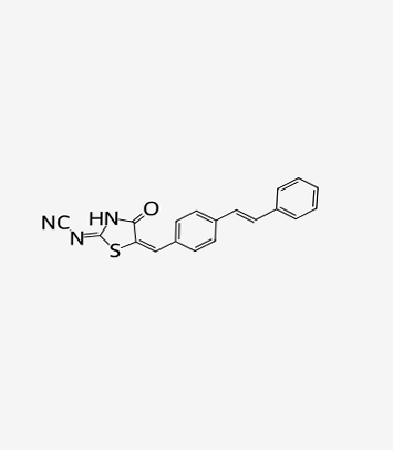 N#CN=C1NC(=O)/C(=C\c2ccc(C=Cc3ccccc3)cc2)S1